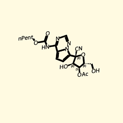 CCCCCOC(=O)Nc1ncnn2c([C@]3(C#N)O[C@H](CO)[C@@H](OC(C)=O)[C@H]3O)ccc12